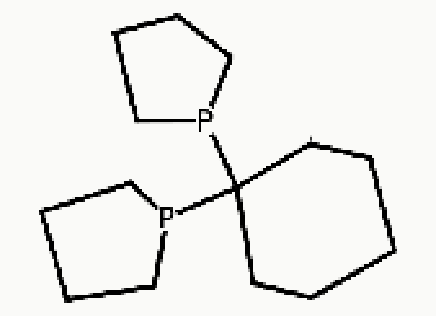 [CH]1CCCCC1(P1CCCC1)P1CCCC1